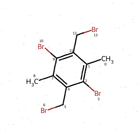 Cc1c(Br)c(CBr)c(C)c(Br)c1CBr